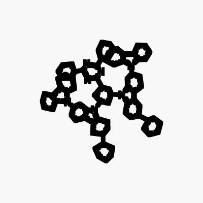 c1ccc(-c2ccc3c(c2)c2ccc(-n4c5ccccc5c5ccccc54)cc2n3-c2cc(-c3nc(-c4ccccc4)nc(-c4ccccc4)n3)cc(-n3c4ccc(-c5ccccc5)cc4c4ccc(-n5c6ccccc6c6ccccc65)cc43)c2)cc1